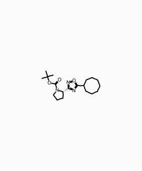 CC(C)(C)OC(=O)N1CCC[C@H]1c1noc(C2CCCCCCC2)n1